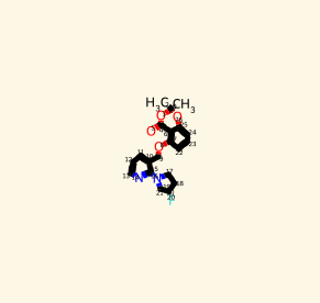 CC1(C)OC(=O)c2c(OCc3cccnc3N3CC[C@H](F)C3)cccc2O1